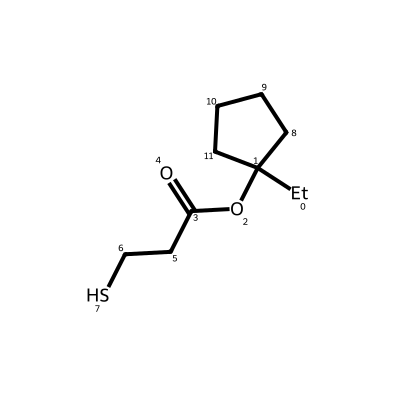 CCC1(OC(=O)CCS)CCCC1